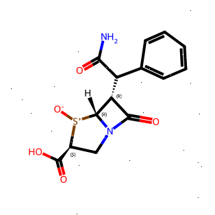 NC(=O)C(c1ccccc1)[C@@H]1C(=O)N2C[C@@H](C(=O)O)[S+]([O-])[C@H]12